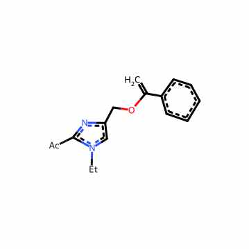 C=C(OCc1cn(CC)c(C(C)=O)n1)c1ccccc1